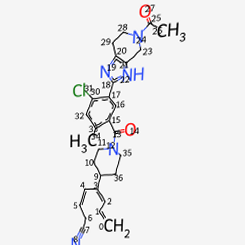 C=C/C=C(\C=C/CC#N)C1CCN(C(=O)c2cc(-c3nc4c([nH]3)CN(C(C)=O)CC4)c(Cl)cc2C)CC1